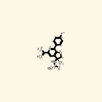 C=C(c1cc2c(c(-c3ccc(F)cc3)n1)OC[C@@]2(N[S@+]([O-])C(C)(C)C)C(F)(F)F)C(F)(F)F